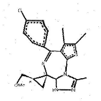 COC[C@@H]1C[C@]12N=C(c1ccc(Cl)cc1)c1c(sc(C)c1C)N1C(C)=NNC12